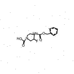 O=C(NC1CCN(C(=O)O)CC1F)OCc1ccccc1